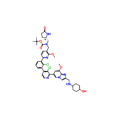 COc1nc(-c2cccc(-c3ccnc(-c4cc(OC)c5nc(CNC6CCC(O)CC6)cn5c4)c3Cl)c2Cl)ccc1CN(C[C@@H]1CCC(=O)N1)C(=O)OC(C)(C)C